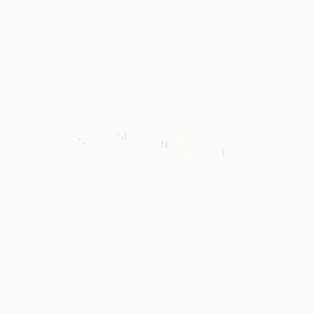 Cc1ccccc1COC(=O)N1CCC(CNc2ccncc2)CC1